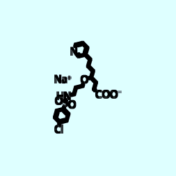 O=C([O-])CCC(CCCc1cccnc1)OCCCNS(=O)(=O)c1ccc(Cl)cc1.[Na+]